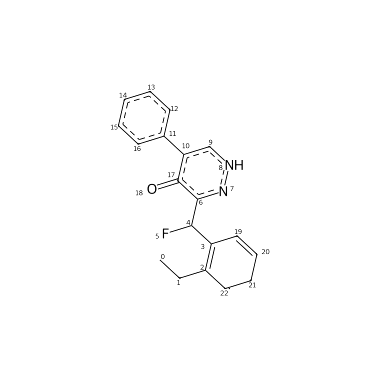 CCC1=C(C(F)c2n[nH]cc(-c3ccccc3)c2=O)C=CC[CH]1